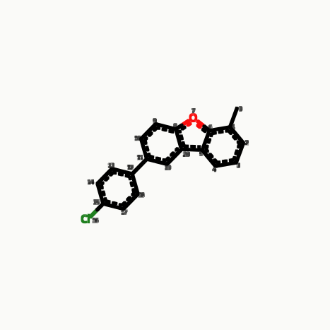 Cc1cccc2c1oc1ccc(-c3ccc(Cl)cc3)cc12